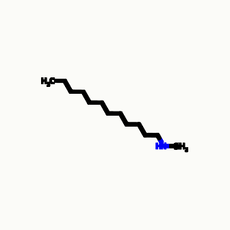 CCCCCCCCCCCCN[SiH3]